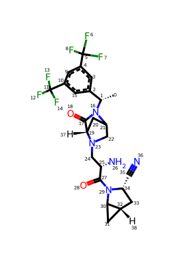 C[C@@H](c1cc(C(F)(F)F)cc(C(F)(F)F)c1)N1C(=O)[C@@H]2CC1CN2C[C@H](N)C(=O)N1C2C[C@H]2C[C@H]1C#N